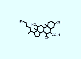 CC(C)CCCC(C)C1CCC2C3C(O)C(C(=O)O)C4CC(O)CCC4(C)C3CC(O)C12C